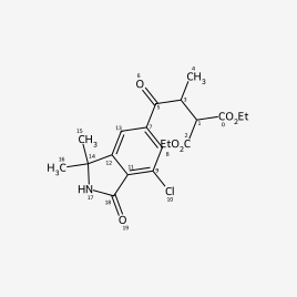 CCOC(=O)C(C(=O)OCC)C(C)C(=O)c1cc(Cl)c2c(c1)C(C)(C)NC2=O